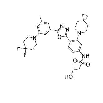 Cc1cc(-c2nnc(-c3ccc(NS(=O)(=O)CCO)cc3N3CCC4(CC3)CC4)o2)cc(N2CCC(F)(F)CC2)c1